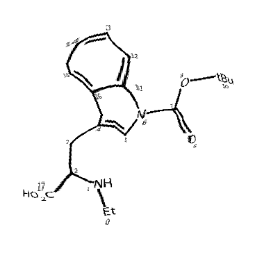 CCNC(Cc1cn(C(=O)OC(C)(C)C)c2ccccc12)C(=O)O